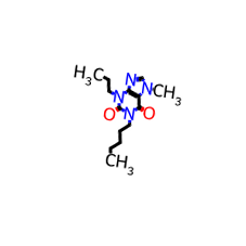 CCCCCn1c(=O)c2c(ncn2C)n(CCC)c1=O